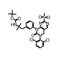 CC(C)(Cc1cccc(N2C(=O)N(c3c(Cl)cccc3Cl)Cc3cnc(S(C)(=O)=O)nc32)c1)NC(=O)OC(C)(C)C